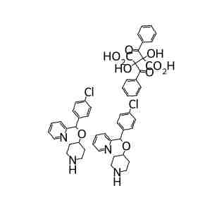 Clc1ccc(C(OC2CCNCC2)c2ccccn2)cc1.Clc1ccc(C(OC2CCNCC2)c2ccccn2)cc1.O=C(O)C(O)(C(=O)c1ccccc1)C(O)(C(=O)O)C(=O)c1ccccc1